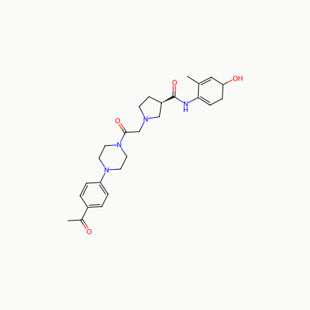 CC(=O)c1ccc(N2CCN(C(=O)CN3CC[C@@H](C(=O)NC4=CCC(O)C=C4C)C3)CC2)cc1